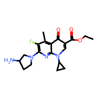 CCOC(=O)c1cn(C2CC2)c2nc(N3CCC(N)C3)c(F)c(C)c2c1=O